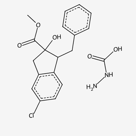 COC(=O)C1(O)Cc2cc(Cl)ccc2C1Cc1ccccc1.NNC(=O)O